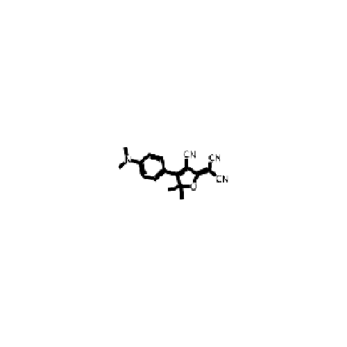 CN(C)c1ccc(C2=C(C#N)C(=C(C#N)C#N)OC2(C)C)cc1